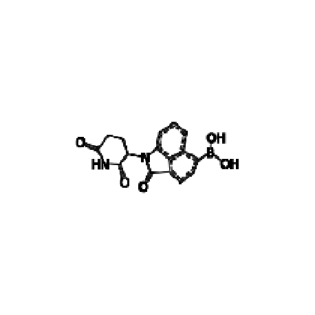 O=C1CCC(N2C(=O)c3ccc(B(O)O)c4cccc2c34)C(=O)N1